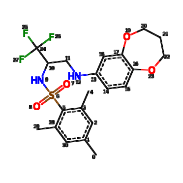 Cc1cc(C)c(S(=O)(=O)NC(CNc2ccc3c(c2)OCCCO3)C(F)(F)F)c(C)c1